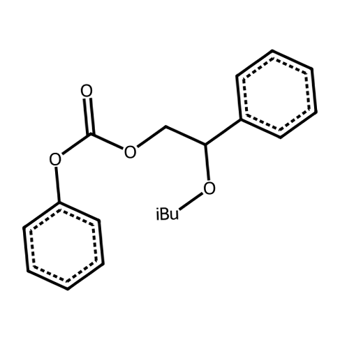 CCC(C)OC(COC(=O)Oc1ccccc1)c1ccccc1